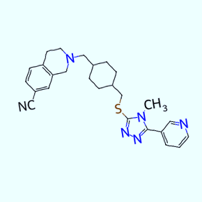 Cn1c(SCC2CCC(CN3CCc4ccc(C#N)cc4C3)CC2)nnc1-c1cccnc1